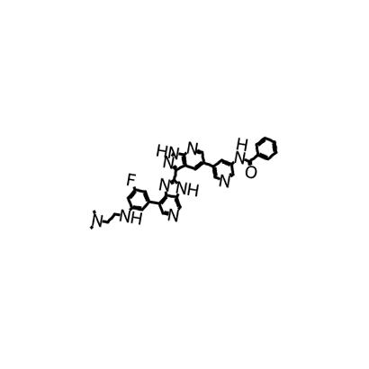 CN(C)CCNc1cc(F)cc(-c2cncc3[nH]c(-c4n[nH]c5ncc(-c6cncc(NC(=O)c7ccccc7)c6)cc45)nc23)c1